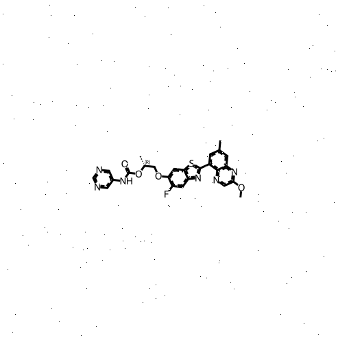 COc1cnc2c(-c3nc4cc(F)c(OC[C@@H](C)OC(=O)Nc5cncnc5)cc4s3)cc(C)cc2n1